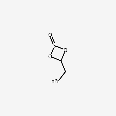 CCCCC1OS(=O)O1